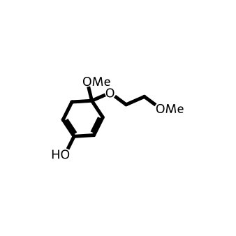 COCCOC1(OC)C=CC(O)=CC1